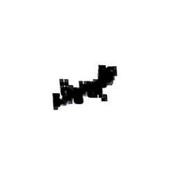 C=C/C(=C\C=C\C(F)F)C(=O)NCCC(=C)NC(=O)COC1=C2CCCC(=C1)C(Cl)C2F